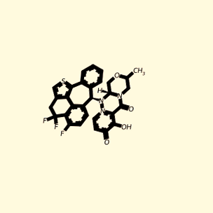 CC1CN2C(=O)c3c(O)c(=O)ccn3N([C@@H]3c4ccccc4-c4scc5c4-c4c3ccc(F)c4C(F)(F)C5)[C@@H]2CO1